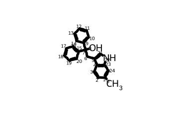 Cc1ccc2c(CC(O)(c3ccccc3)c3ccccc3)c[nH]c2c1